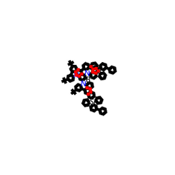 CC(C)(C)c1ccc(N2c3cc(-c4ccc([Si](c5ccccc5)(c5ccccc5)c5cccc(-c6ccccc6)c5)cc4)ccc3B3c4ccc([Si](c5ccccc5)(c5ccccc5)c5cccc(-c6ccccc6)c5)cc4N(c4c(-c5ccccc5)cccc4-c4ccccc4)c4cc(-n5c6ccc(C(C)(C)C)cc6c6cc(C(C)(C)C)ccc65)cc2c43)c(-c2ccccc2)c1